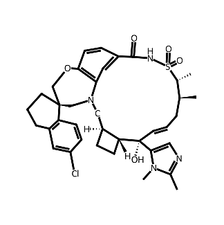 Cc1ncc([C@]2(O)/C=C/C[C@H](C)[C@@H](C)S(=O)(=O)NC(=O)c3ccc4c(c3)N(C[C@@H]3CC[C@H]32)C[C@@]2(CCCc3cc(Cl)ccc32)CO4)n1C